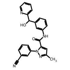 Cc1cc(C(=O)Nc2cccc(C(O)c3ccccn3)c2)n(-c2cccc(C#N)c2)n1